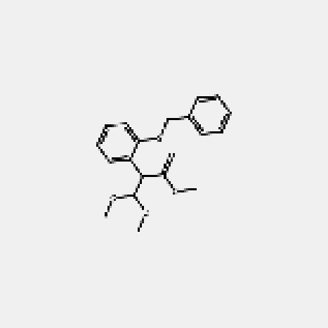 COC(=O)C(c1ccccc1SCc1ccccc1)C(OC)OC